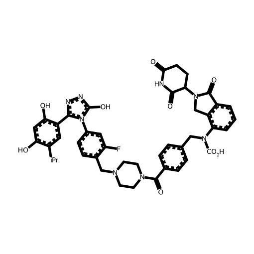 CC(C)c1cc(-c2nnc(O)n2-c2ccc(CN3CCN(C(=O)c4ccc(CN(C(=O)O)c5cccc6c5CN(C5CCC(=O)NC5=O)C6=O)cc4)CC3)c(F)c2)c(O)cc1O